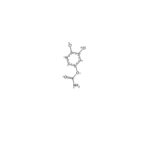 NC(=O)Oc1cnc(Cl)c(Cl)c1